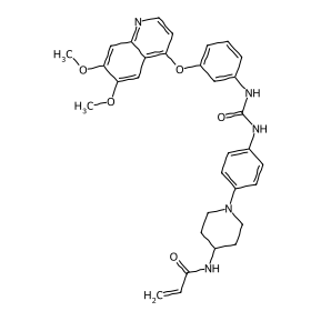 C=CC(=O)NC1CCN(c2ccc(NC(=O)Nc3cccc(Oc4ccnc5cc(OC)c(OC)cc45)c3)cc2)CC1